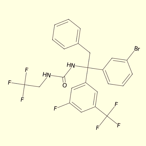 O=C(NCC(F)(F)F)NC(Cc1ccccc1)(c1cccc(Br)c1)c1cc(F)cc(C(F)(F)F)c1